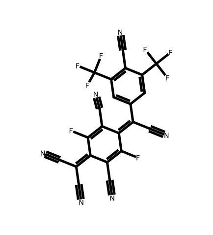 N#CC(C#N)=c1c(F)c(C#N)/c(=C(/C#N)c2cc(C(F)(F)F)c(C#N)c(C(F)(F)F)c2)c(F)c1C#N